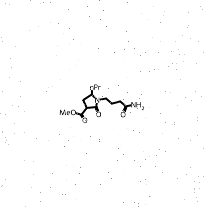 CCCC1CC(C(=O)OC)C(=O)N1CCCC(N)=O